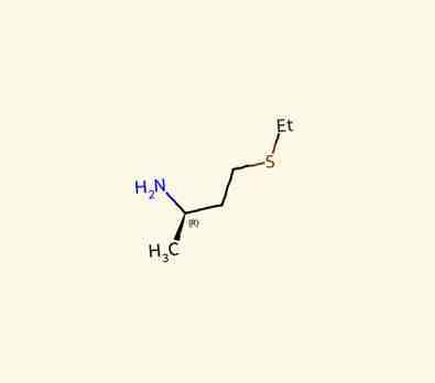 CCSCC[C@@H](C)N